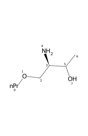 CCCOC[C@@H](N)C(C)O